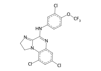 FC(F)(F)Oc1ccc(NC2=Nc3cc(Cl)cc(Cl)c3N3CCN=C23)cc1Cl